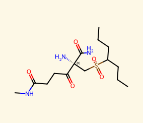 CCCC(CCC)S(=O)(=O)C[C@](N)(C(N)=O)C(=O)CCC(=O)NC